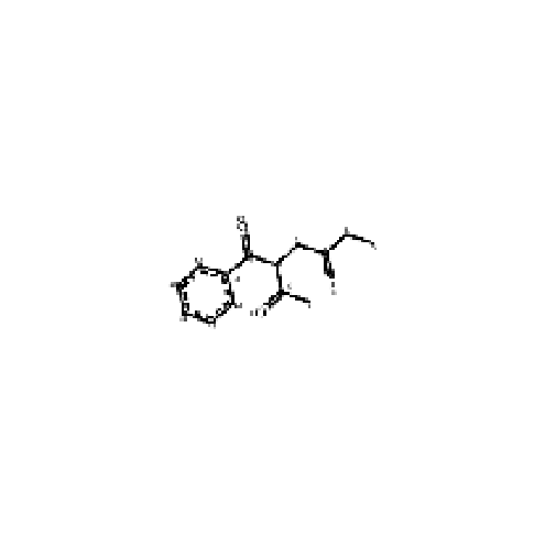 CCC(=S)CC(C(C)=O)C(=O)c1ccccc1